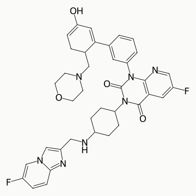 O=c1c2cc(F)cnc2n(-c2cccc(C3=CC(O)=CCC3CN3CCOCC3)c2)c(=O)n1C1CCC(NCc2cn3cc(F)ccc3n2)CC1